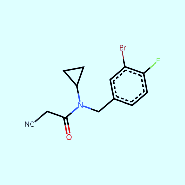 N#CCC(=O)N(Cc1ccc(F)c(Br)c1)C1CC1